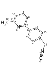 [C-]#[N+]Cc1ccc(-c2cccc(C)n2)cc1